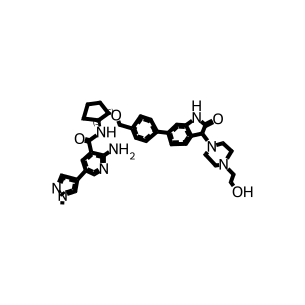 Cn1cc(-c2cnc(N)c(C(=O)N[C@H]3CCC[C@@H]3OCc3ccc(-c4ccc5c(c4)NC(=O)C5N4CCN(CCO)CC4)cc3)c2)cn1